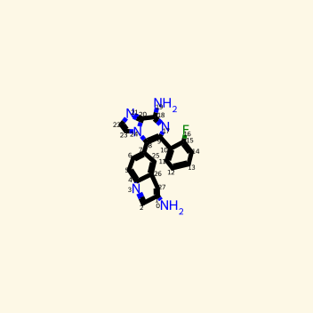 Nc1cnc2ccc(-c3c(-c4ccccc4F)nc(N)c4nccn34)cc2c1